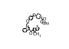 Cn1c(C(=O)c2cn(CCOc3ccc(O[C@H]4CCCN(C(=O)OC(C)(C)C)CC4)cc3)c3ccccc23)cc2sccc21